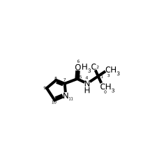 CC(C)(C)NC(=O)C1=CCC=N1